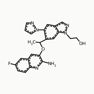 CC(Oc1cc2cc(F)ccc2nc1N)c1cc2c(cnn2CCO)cc1-n1cccn1